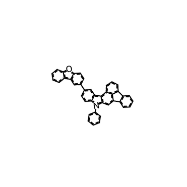 c1ccc(-n2c3ccc(-c4ccc5oc6ccccc6c5c4)cc3c3c4cccc5c4c(cc32)-c2ccccc2-5)cc1